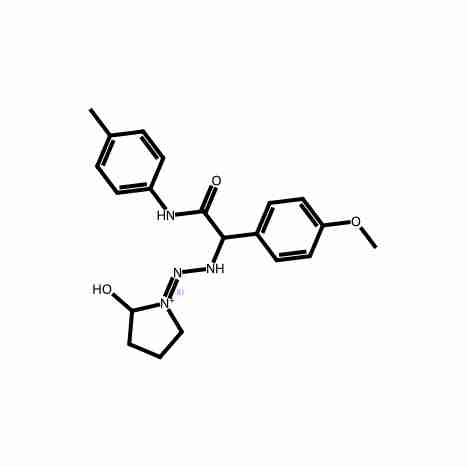 COc1ccc(C(N/N=[N+]2\CCCC2O)C(=O)Nc2ccc(C)cc2)cc1